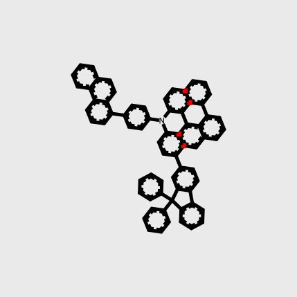 c1ccc(-c2cccc3cccc(-c4ccccc4N(c4ccc(-c5ccc6c(c5)C(c5ccccc5)(c5ccccc5)c5ccccc5-6)cc4)c4ccc(-c5cccc6c5ccc5ccccc56)cc4)c23)cc1